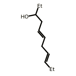 CC/C=C/C/C=C/CC(O)CC